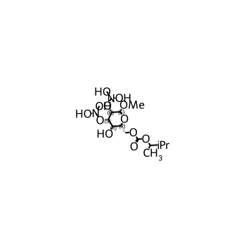 CO[C@H]1O[C@H](COC(=O)OC(C)C(C)C)[C@@H](O)[C@H](ON(O)O)[C@H]1ON(O)O